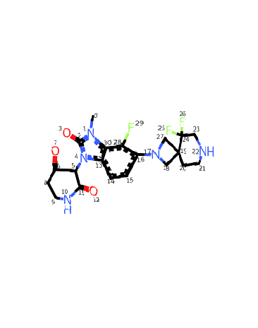 Cn1c(=O)n(C2C(=O)CCNC2=O)c2ccc(N3CC4(CCNCC4(F)F)C3)c(F)c21